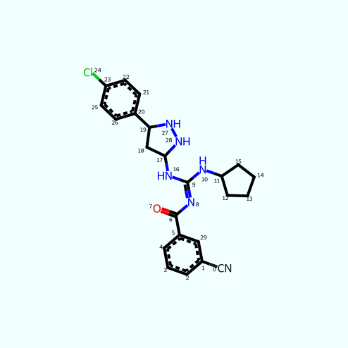 N#Cc1cccc(C(=O)/N=C(/NC2CCCC2)NC2CC(c3ccc(Cl)cc3)NN2)c1